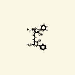 NC1=NN(c2ccccc2)C(=O)C1=CC=Cc1c(N)nn(-c2ccccc2)c1O